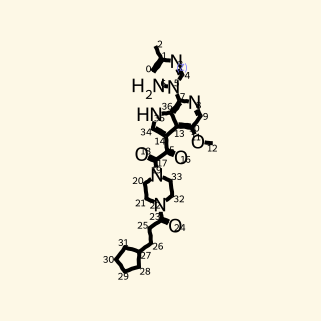 C=C(C)/N=C\N(N)c1ncc(OC)c2c(C(=O)C(=O)N3CCN(C(=O)CCC4CCCC4)CC3)c[nH]c12